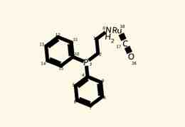 NCCP(c1ccccc1)c1ccccc1.O=[C]=[Ru]